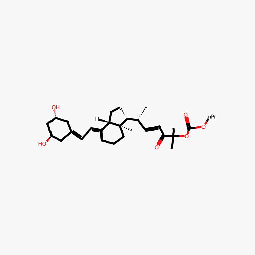 CCCOC(=O)OC(C)(C)C(=O)/C=C/[C@@H](C)[C@H]1CC[C@H]2/C(=C/C=C3C[C@@H](O)C[C@H](O)C3)CCC[C@]12C